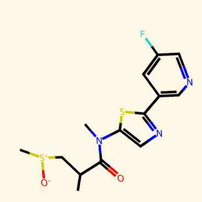 CC(C[S+](C)[O-])C(=O)N(C)c1cnc(-c2cncc(F)c2)s1